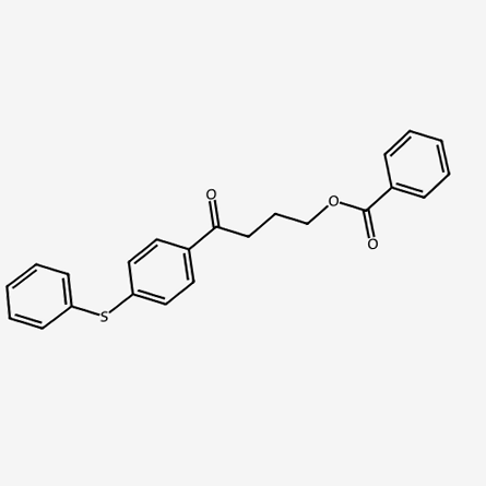 O=C(CCCOC(=O)c1ccccc1)c1ccc(Sc2ccccc2)cc1